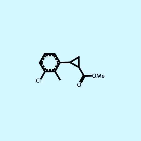 COC(=O)C1CC1c1cccc(Cl)c1C